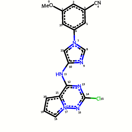 COc1cc(C#N)cc(-n2cnc(Nc3nc(Cl)nn4cccc34)c2)c1